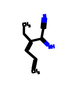 C=C/C=C(/CC)C(=N)C#N